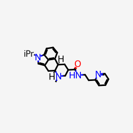 CC(C)n1cc2c3c(cccc31)[C@H]1CC(C(=O)NCCc3ccccn3)CN(C)[C@@H]1C2